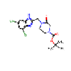 CC(C)(C)OC(=O)N1CCN(Cc2nc3c(Cl)cc(Cl)cc3[nH]2)C(=O)C1